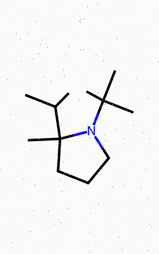 CC(C)C1(C)CCCN1C(C)(C)C